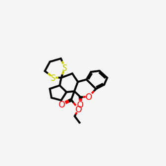 CCOC(=O)C12C(=O)Oc3ccccc3C1CC1(SCCCS1)C1CCCC12